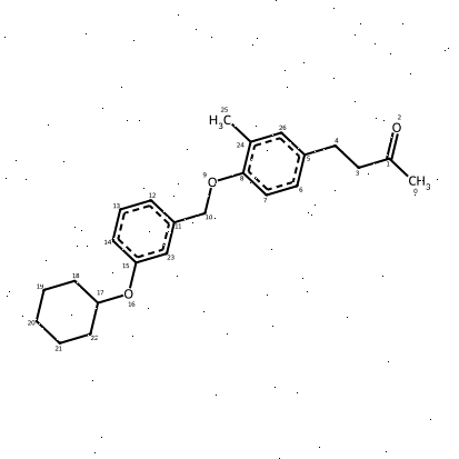 CC(=O)CCc1ccc(OCc2cccc(OC3CCCCC3)c2)c(C)c1